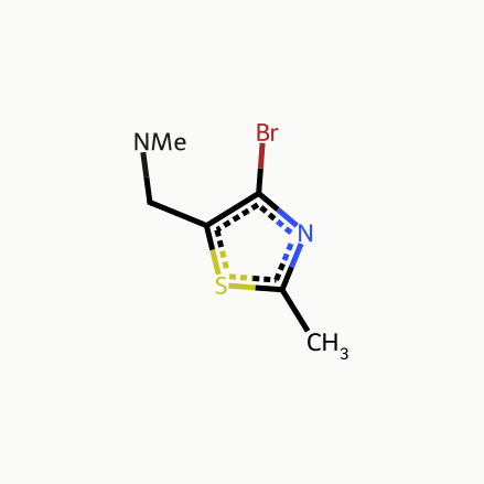 CNCc1sc(C)nc1Br